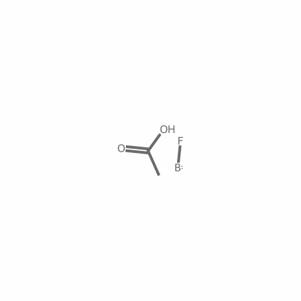 CC(=O)O.[B]F